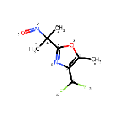 Cc1oc(C(C)(C)N=O)nc1C(F)F